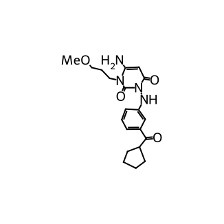 COCCCn1c(N)cc(=O)n(Nc2cccc(C(=O)C3CCCC3)c2)c1=O